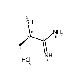 C[C@@H](S)C(=N)N.Cl